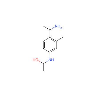 Cc1cc(NC(C)O)ccc1C(C)N